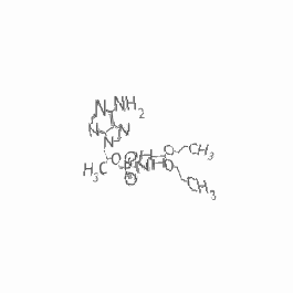 CCCOC(CNP(=O)(O)CO[C@H](C)Cn1cnc2c(N)ncnc21)OCCC